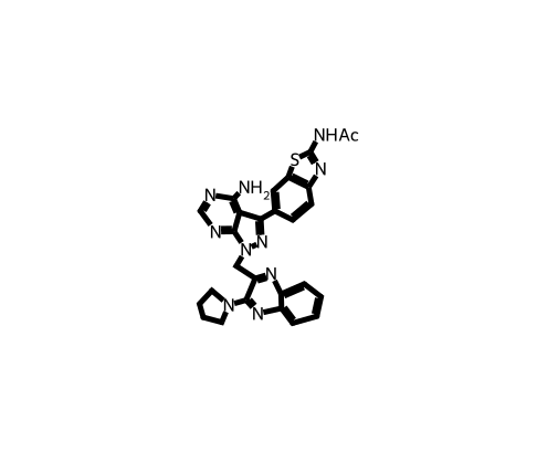 CC(=O)Nc1nc2ccc(-c3nn(Cc4nc5ccccc5nc4N4CCCC4)c4ncnc(N)c34)cc2s1